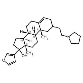 C[C@]12CC(CCN3CCCC3)CC=C1CC[C@@H]1[C@H]2CC[C@@]2(C)[C@H]1CCC2(O)c1ccoc1